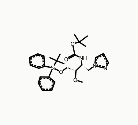 CO[C@H](CO[Si](c1ccccc1)(c1ccccc1)C(C)(C)C)[C@@H](Cn1cccn1)NC(=O)OC(C)(C)C